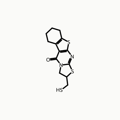 O=c1c2c3c(sc2nc2n1CC(CS)S2)CCCC3